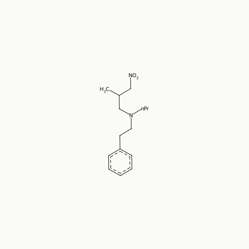 CCCN(CCc1ccccc1)CC(C)C[N+](=O)[O-]